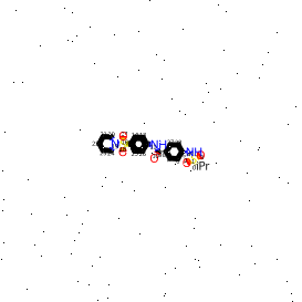 CC(C)S(=O)(=O)N[C@H]1CC[C@H](C(=O)Nc2ccc(S(=O)(=O)N3CCCCC3)cc2)CC1